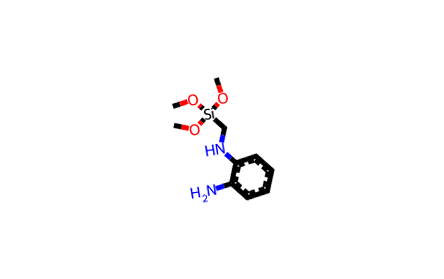 CO[Si](CNc1ccccc1N)(OC)OC